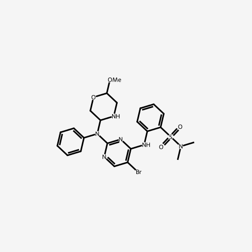 COC1CNC(N(c2ccccc2)c2ncc(Br)c(Nc3ccccc3S(=O)(=O)N(C)C)n2)CO1